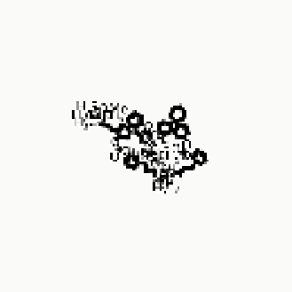 CO[Si](C)(C)[Si](C)(C)CCCc1ccccc1OC(=O)Oc1cccc(CCC[SiH2][Si](C)(C)O[SiH2]CCCc2ccccc2OC(=O)Oc2ccc(C3(c4ccc(OC(=O)Oc5ccccc5CCC[Si](C)(C)O[Si](C)(C)C)cc4)CCCCC3)cc2)c1